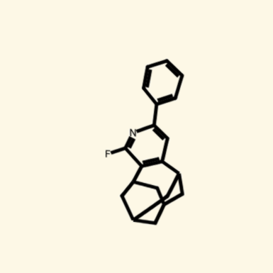 Fc1nc(-c2ccccc2)cc2c1C1CC3CC(CC2C3)C1